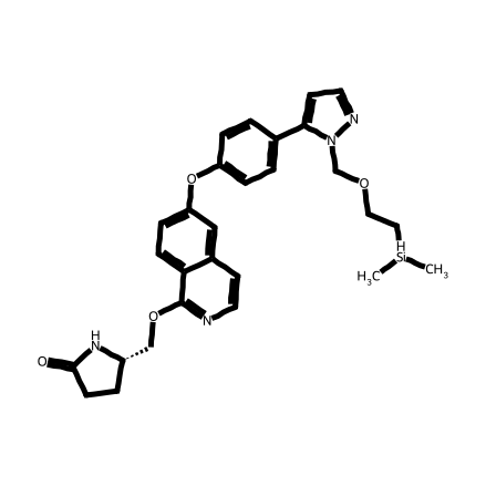 C[SiH](C)CCOCn1nccc1-c1ccc(Oc2ccc3c(OC[C@@H]4CCC(=O)N4)nccc3c2)cc1